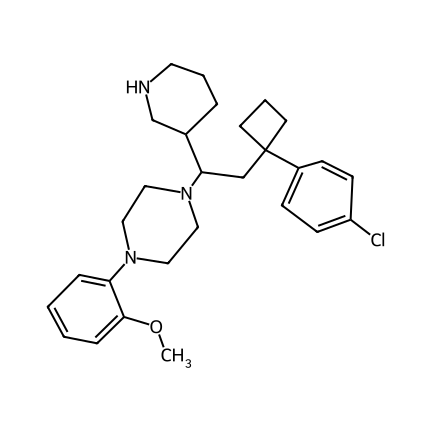 COc1ccccc1N1CCN(C(CC2(c3ccc(Cl)cc3)CCC2)C2CCCNC2)CC1